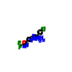 N/C(=C\N(N)Cc1ccc(-c2nnc(C(F)F)o2)cn1)c1ccc(Cl)cc1